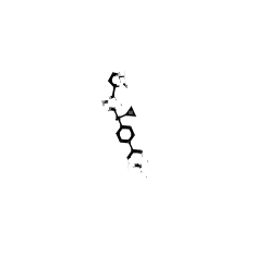 Cn1nccc1-c1nc(C(C)(c2ccc(-c3cnc(N)nc3)cc2)C2CC2)no1